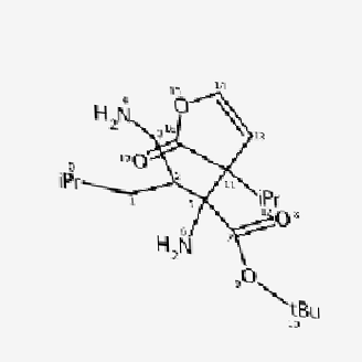 CC(C)CC(CN)C(N)(C(=O)OC(C)(C)C)C1(C(C)C)C=COC1=O